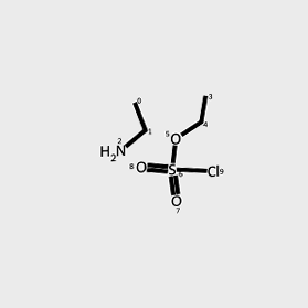 CCN.CCOS(=O)(=O)Cl